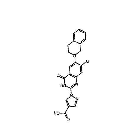 O=C(O)c1cnn(-c2nc3cc(Cl)c(N4CCc5ccccc5C4)cc3c(=O)[nH]2)c1